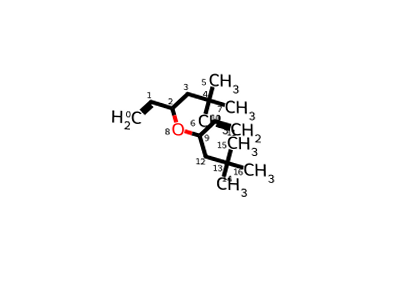 C=CC(CC(C)(C)C)OC(C=C)CC(C)(C)C